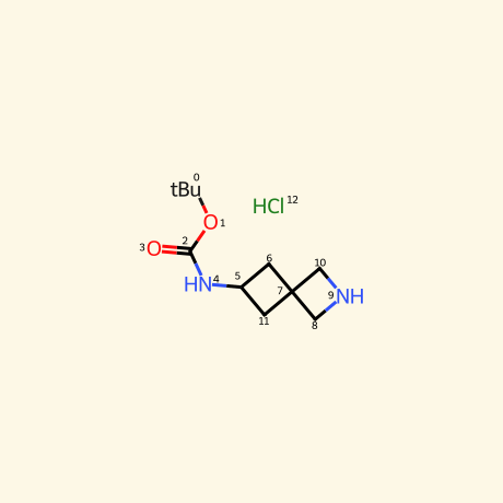 CC(C)(C)OC(=O)NC1CC2(CNC2)C1.Cl